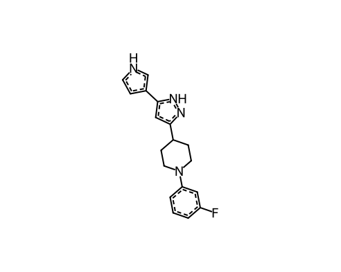 Fc1cccc(N2CCC(c3cc(-c4cc[nH]c4)[nH]n3)CC2)c1